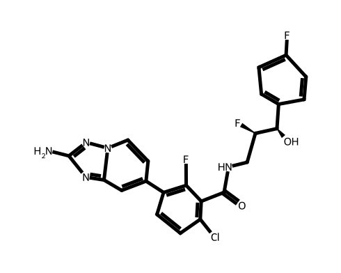 Nc1nc2cc(-c3ccc(Cl)c(C(=O)NC[C@@H](F)[C@H](O)c4ccc(F)cc4)c3F)ccn2n1